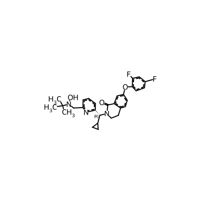 CC(C)(C)N(O)Cc1cccc([C@@H](C2CC2)N2CCc3ccc(Oc4ccc(F)cc4F)cc3C2=O)n1